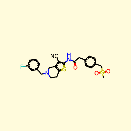 CS(=O)(=O)Cc1ccc(CC(=O)Nc2sc3c(c2C#N)CN(Cc2cccc(F)c2)CC3)cc1